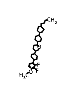 C=CCCC1CCC(C2CCC(C3CCC(C4CCC(c5ccc(OCC)c(F)c5F)CC4)CO3)CC2)CC1